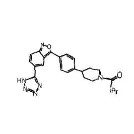 CC(C)C(=O)N1CCC(c2ccc(-c3onc4ccc(-c5nnn[nH]5)cc34)cc2)CC1